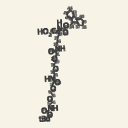 CC(C)(C)OC(=O)NCCOCCOCC(=O)NCCOCCOCC(=O)NCCCC[C@H](NC(=O)OCC1c2ccccc2-c2ccccc21)C(=O)O